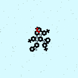 CC(C)(C)c1ccc(N2c3cc(C(C)(C)C)ccc3B3c4ccc(C(C)(C)C)cc4N(c4ccc5sc6ccccc6c5c4)c4cc(N5c6ccc(C(C)(C)C)cc6C6(C)CCCCC56C)cc2c43)c(-c2ccccc2)c1